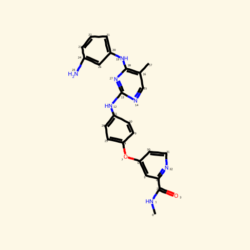 CNC(=O)c1cc(Oc2ccc(Nc3ncc(C)c(Nc4cccc(N)c4)n3)cc2)ccn1